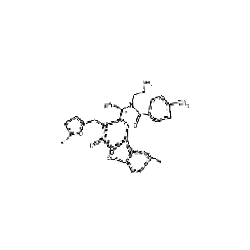 Cc1ccc(C(=O)N(CCN)[C@@H](c2nc3c(oc4ccc(F)cc43)c(=O)n2Cc2ccc(Br)o2)C(C)C)cc1